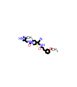 COc1cccc(CCC(=O)Nc2sc3c(c2C#N)CCN(C(=O)NCc2c[nH]nc2C)C3)c1